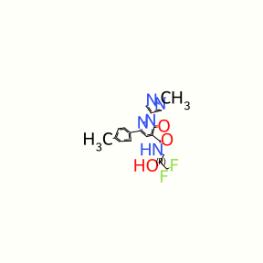 Cc1ccc(-c2cc(C(=O)NC[C@@H](O)C(F)F)c(=O)n(-c3cnn(C)c3)n2)cc1